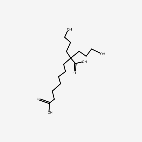 O=C(O)CCCCCCC(CCCO)(CCCO)C(=O)O